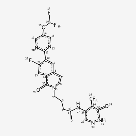 C[C@@H](CCCn1ccc2cc(-c3ncc(OC(F)F)cn3)c(F)cc2c1=O)Nc1cn[nH]c(=O)c1C(F)(F)F